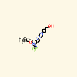 C[Si](C)(C)CCOCn1cc(C(F)(F)F)nc1-c1ccc(N2CCN(c3ccc(CCO)cc3)CC2)nc1